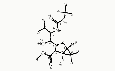 COC(=O)[C@@H]1[C@@H]2[C@H](CN1C(O)[C@@H](NC(=O)OC(C)(C)C)C(C)C)C2(C)C